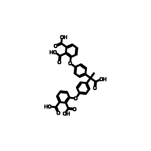 CC(C(=O)O)(c1ccc(Oc2cccc(C(=O)O)c2C(=O)O)cc1)c1ccc(Oc2cccc(C(=O)O)c2C(=O)O)cc1